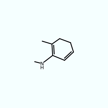 CNC1=C(C)CCC=C1